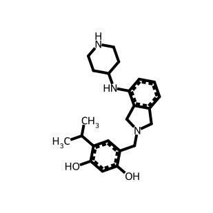 CC(C)c1cc(CN2Cc3cccc(NC4CCNCC4)c3C2)c(O)cc1O